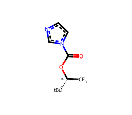 CC(C)(C)[C@H](OC(=O)n1ccnc1)C(F)(F)F